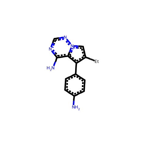 CCc1cn2ncnc(N)c2c1-c1ccc(N)cc1